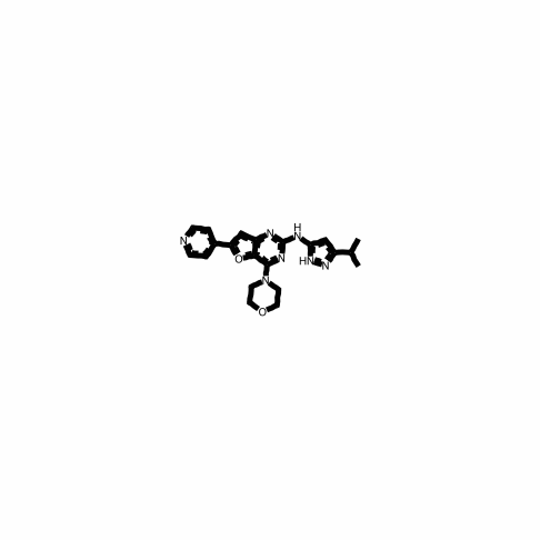 CC(C)c1cc(Nc2nc(N3CCOCC3)c3oc(-c4ccncc4)cc3n2)[nH]n1